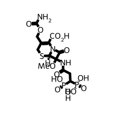 COC1(NC(=O)CC(P(=O)(O)O)P(=O)(O)O)C(=O)N2C(C(=O)O)=C(COC(N)=O)CS[C@H]21